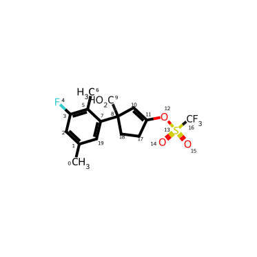 Cc1cc(F)c(C)c(C2(C(=O)O)C=C(OS(=O)(=O)C(F)(F)F)CC2)c1